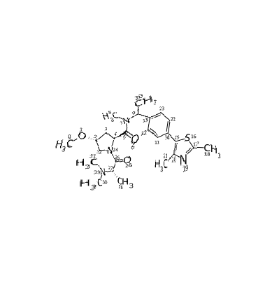 CO[C@@H]1C[C@@H](C(=O)N(C)C(C)c2ccc(-c3sc(C)nc3C)cc2)N(C(=O)[C@H](C)N(C)C)C1